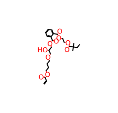 C=CC(=O)OCCCCOCC(O)COC(=O)c1ccccc1C(=O)OCCOC(=O)C(C)(C)CC